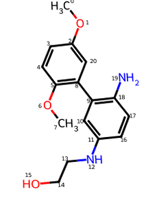 COc1ccc(OC)c(-c2cc(NCCO)ccc2N)c1